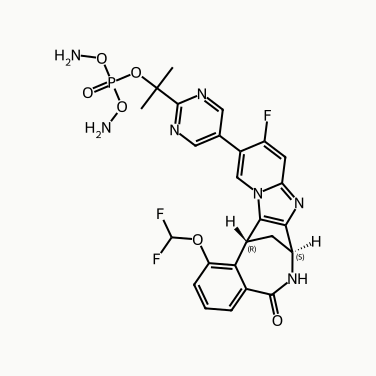 CC(C)(OP(=O)(ON)ON)c1ncc(-c2cn3c4c(nc3cc2F)[C@@H]2C[C@@H]4c3c(OC(F)F)cccc3C(=O)N2)cn1